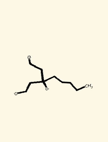 CCCCCC([O])(CC[O])CC[O]